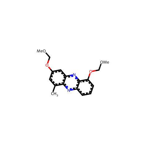 COCOc1cc(C)c2nc3cccc(OCOC)c3nc2c1